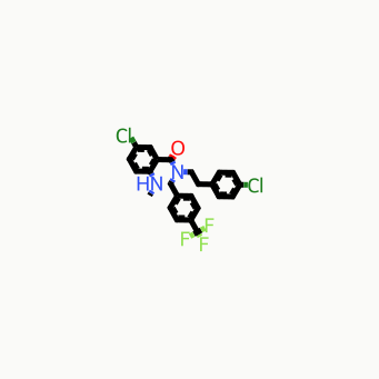 CNc1ccc(Cl)cc1C(=O)N(CCc1ccc(Cl)cc1)Cc1ccc(C(F)(F)F)cc1